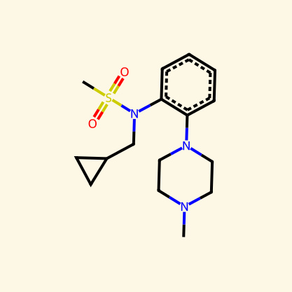 CN1CCN(c2ccccc2N(CC2CC2)S(C)(=O)=O)CC1